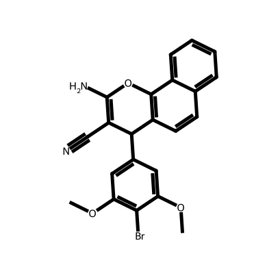 COc1cc(C2C(C#N)=C(N)Oc3c2ccc2ccccc32)cc(OC)c1Br